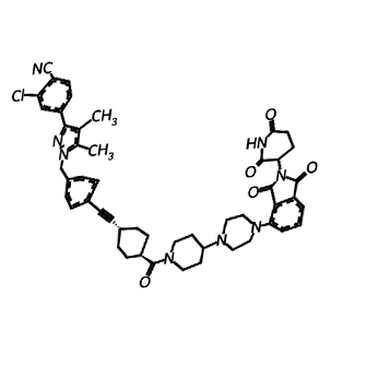 Cc1c(-c2ccc(C#N)c(Cl)c2)nn(Cc2ccc(C#C[C@H]3CC[C@H](C(=O)N4CCC(N5CCN(c6cccc7c6C(=O)N(C6CCC(=O)NC6=O)C7=O)CC5)CC4)CC3)cc2)c1C